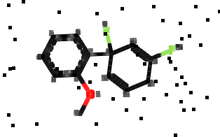 COc1ccccc1C1(F)C=C[CH]C(F)=C1